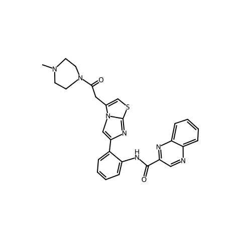 CN1CCN(C(=O)Cc2csc3nc(-c4ccccc4NC(=O)c4cnc5ccccc5n4)cn23)CC1